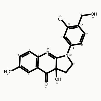 Cc1ccc2c(c1)C(=O)C1(O)CCN(c3ccc(CO)c(Cl)c3)C1=N2